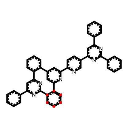 c1ccc(-c2cc(-c3ccc(-c4cc(-c5ccccc5-c5cc(-c6ccccc6)nc(-c6ccccc6)n5)cc(-c5ccccn5)n4)nc3)nc(-c3ccccc3)n2)cc1